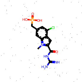 Cn1c(C(=O)NC(=N)N)cc2c(Cl)cc(CP(=O)(O)O)cc21